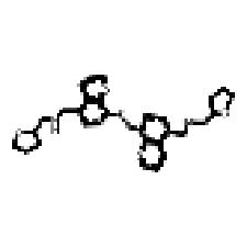 c1cnc2c(SSc3ccc(CNCC4CCCO4)c4cccnc34)ccc(CNCC3CCCO3)c2c1